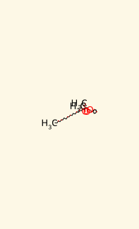 CCCCCCCCCCCCCCCCCCCC(=O)C(CC(=O)OCc1ccccc1)C(C)CC